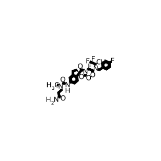 C[C@H](N(Cc1ccc(F)cc1)C(=O)CN1C(=O)O[C@@]2(CCc3cc(NC(=O)N(C)CCC(N)=O)ccc32)C1=O)C(F)(F)F